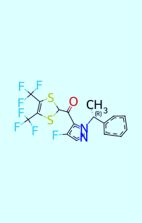 C[C@H](c1ccccc1)n1ncc(F)c1C(=O)C1SC(C(F)(F)F)=C(C(F)(F)F)S1